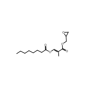 CCCCCCCC(=O)OC=C(C)C(=O)OCC1CO1